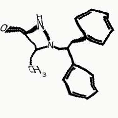 CC1C(=O)NN1C(c1ccccc1)c1ccccc1